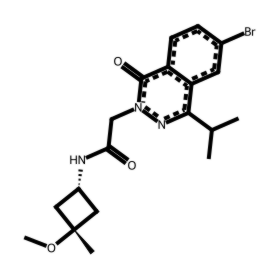 CO[C@]1(C)C[C@H](NC(=O)Cn2nc(C(C)C)c3cc(Br)ccc3c2=O)C1